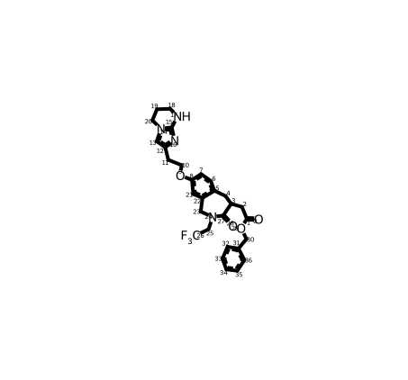 O=C(CC1Cc2ccc(OCCc3cn4c(n3)NCCC4)cc2CN(CC(F)(F)F)C1=O)OCc1ccccc1